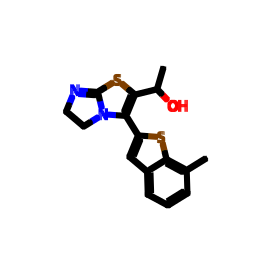 Cc1cccc2cc(C3=C(C(C)O)SC4=NCCN43)sc12